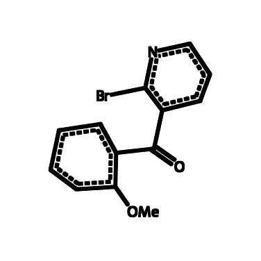 COc1ccccc1C(=O)c1cccnc1Br